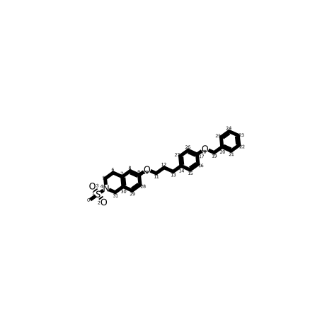 CS(=O)(=O)N1CCc2cc(OCCCc3ccc(OCc4ccccc4)cc3)ccc2C1